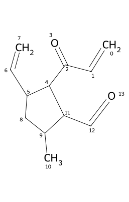 C=CC(=O)C1C(C=C)CC(C)C1C=O